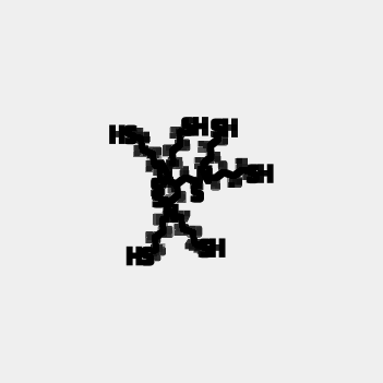 S=C(CC(CC(=S)N(CCCCS)CCCCS)C(=S)N(CCCCS)CCCCS)N(CCCCS)CCCCS